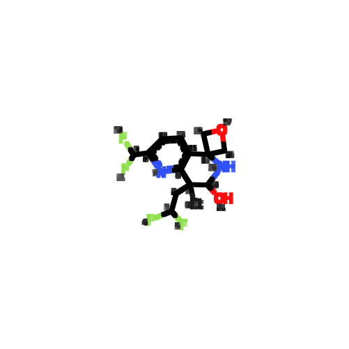 CCC1(CC(F)F)c2nc(C(F)F)ccc2C2(COC2)NC1O